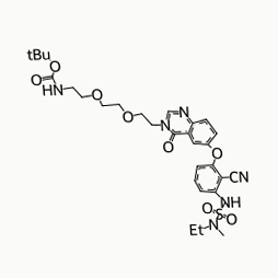 CCN(C)S(=O)(=O)Nc1cccc(Oc2ccc3ncn(CCOCCOCCNC(=O)OC(C)(C)C)c(=O)c3c2)c1C#N